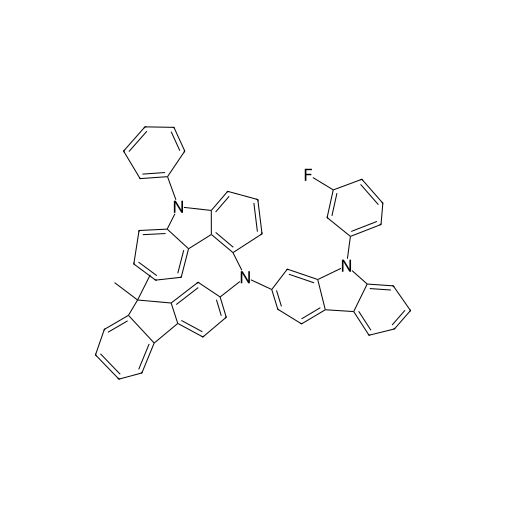 CC1(C)c2ccccc2-c2ccc(N(c3ccc4c5ccccc5n(-c5cccc(F)c5)c4c3)c3cccc4c3c3ccccc3n4-c3ccccc3)cc21